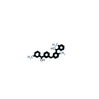 Cc1ccccc1C(O)c1cc(Cc2cccc(C(O)C3=CC=CC(C)C3)c2)ccc1C